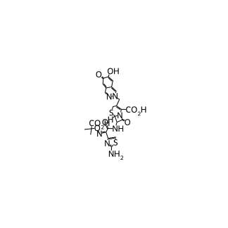 CC(C)(O/N=C(\C(=O)NC1C(=O)N2C(C(=O)O)=C(Cn3cc4cc(O)c(=O)cc-4cn3)CS[C@@H]12)c1csc(N)n1)C(=O)O